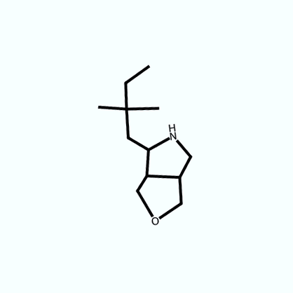 CCC(C)(C)CC1NCC2COCC21